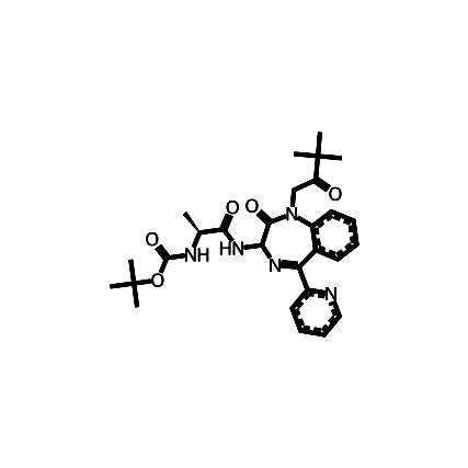 C[C@H](NC(=O)OC(C)(C)C)C(=O)NC1N=C(c2ccccn2)c2ccccc2N(CC(=O)C(C)(C)C)C1=O